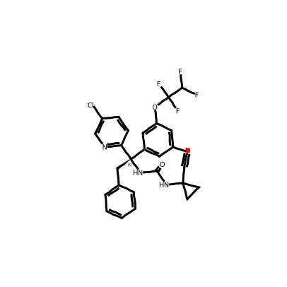 N#CC1(NC(=O)N[C@@](Cc2ccccc2)(c2cc(F)cc(OC(F)(F)C(F)F)c2)c2ccc(Cl)cn2)CC1